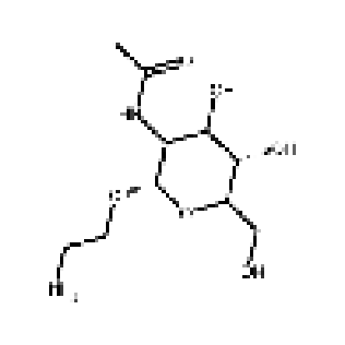 CC(=O)NC1C(O)[C@H](O)C(CO)O[C@@H]1OCCN